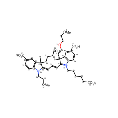 COCCOCCC1(C)C(/C=C/C=C2/N(CCOC)c3ccc(S(=O)(=O)O)cc3C2(C)CCCS(=O)(=O)O)=[N+](CCCCCC(=O)O)c2ccc(S(=O)(=O)O)cc21